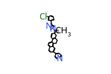 C[C@@H](C1C=CC2=C(CCc3c2ccc2ccc(-c4ccncc4)cc32)C1)n1cnc(-c2cccc(Cl)c2)c1